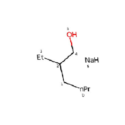 CCCCC(CC)CO.[NaH]